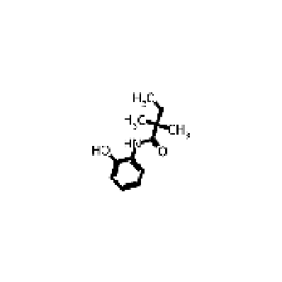 CCC(C)(C)C(=O)Nc1ccccc1O